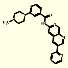 CN1CCN(c2cc(C(=O)Nc3cc4cc(-c5cnccn5)cnc4cn3)ccn2)CC1